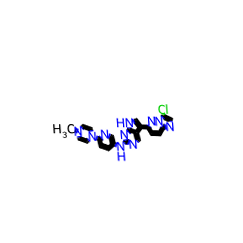 CN1CCN(c2ccc(Nc3ncc4c(-c5ccc6ncc(Cl)n6n5)c[nH]c4n3)cn2)CC1